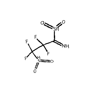 N=C([SH](=O)=O)C(F)(F)C(F)(F)[SH](=O)=O